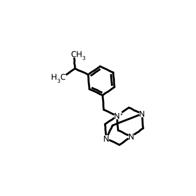 CC(C)c1cccc(C[N+]23CN4CN(CN(C4)C2)C3)c1